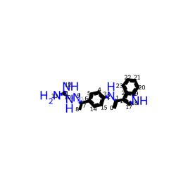 C=C(Nc1ccc(/C(C)=N/NC(=N)N)cc1)c1c[nH]c2ccccc12